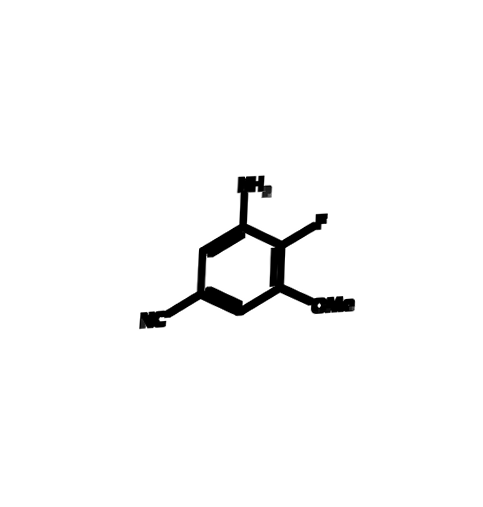 COc1cc(C#N)cc(N)c1F